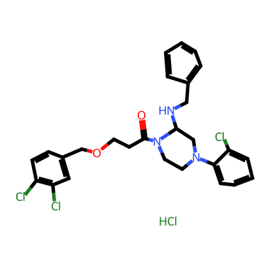 Cl.O=C(CCOCc1ccc(Cl)c(Cl)c1)N1CCN(c2ccccc2Cl)CC1NCc1ccccc1